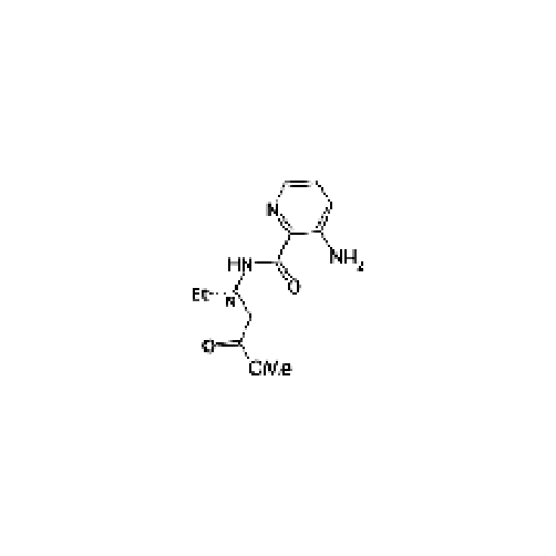 CC[C@@H](CC(=O)OC)NC(=O)c1ncccc1N